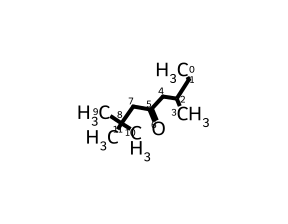 CCC(C)CC(=O)CC(C)(C)C